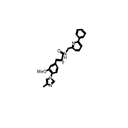 COc1cc(C=C(F)C(=O)NCc2cccc(-c3ccccc3)n2)ccc1-n1cnc(C)c1